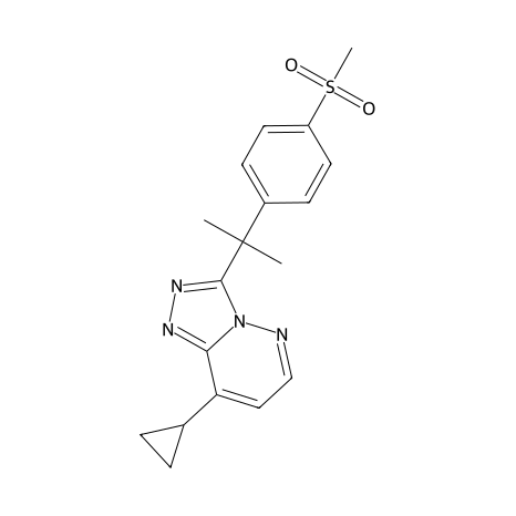 CC(C)(c1ccc(S(C)(=O)=O)cc1)c1nnc2c(C3CC3)ccnn12